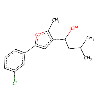 Cc1oc(-c2cccc(Cl)c2)cc1C(O)CC(C)C